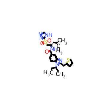 CCC(CC)n1c(Cc2cccs2)nc2cc(C(=O)N[C@@H](CC(C)C)CS(=O)(=O)c3nnc[nH]3)ccc21